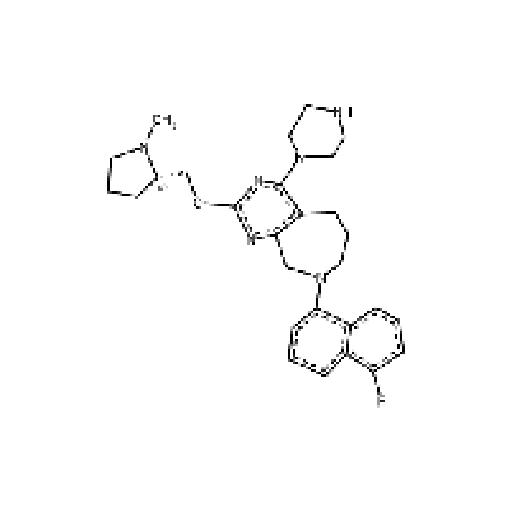 CN1CCC[C@H]1COc1nc2c(c(N3CCNCC3)n1)CCCN(c1cccc3c(F)cccc13)C2